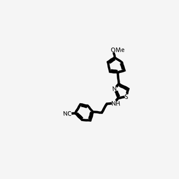 COc1ccc(-c2csc(NCCc3ccc(C#N)cc3)n2)cc1